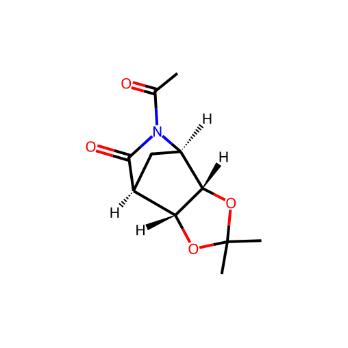 CC(=O)N1C(=O)[C@H]2C[C@@H]1[C@@H]1OC(C)(C)O[C@@H]12